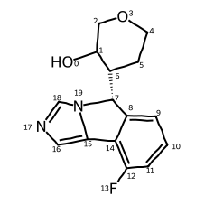 OC1COCCC1[C@@H]1c2cccc(F)c2-c2cncn21